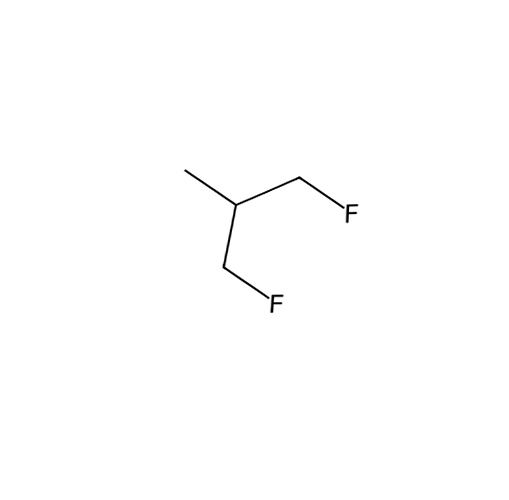 CC(CF)CF